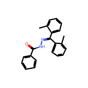 Cc1ccccc1C(=NNC(=O)c1ccccc1)c1ccccc1C